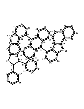 c1ccc(C2Sc3cc4sc5cccc(-c6c7ccccc7c(-c7cccc8oc9c%10ccccc%10ccc9c78)c7ccccc67)c5c4cc3C2c2ccccc2)cc1